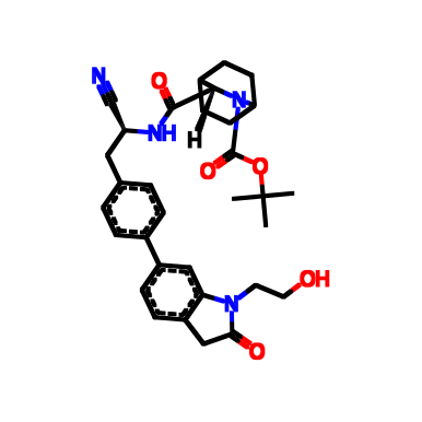 CC(C)(C)OC(=O)N1C2CCC(CC2)[C@H]1C(=O)N[C@H](C#N)Cc1ccc(-c2ccc3c(c2)N(CCO)C(=O)C3)cc1